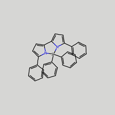 c1ccc(-c2ccc3n2[Si](c2ccccc2)(c2ccccc2)n2c(-c4ccccc4)ccc2-3)cc1